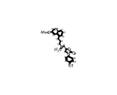 CCc1ccc(N2C[C@@H](CN(C)CCCc3cccc4ncc(OC)cc34)OC2=O)cc1